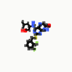 CC(C)CC(CO)Nc1nc(SCc2cccc(F)c2F)nc2[nH]c(=O)cnc12